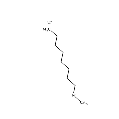 CCCCCCCC[N-]C.[Li+]